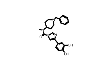 CN(C(=O)n1cnc(-c2ccc(O)c(O)c2)c1)C1CCN(Cc2ccccc2)CC1